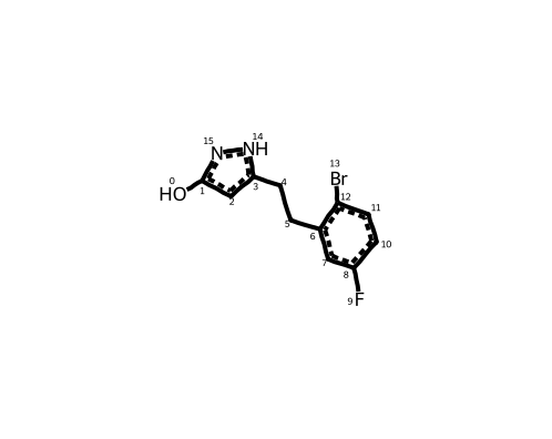 Oc1cc(CCc2cc(F)ccc2Br)[nH]n1